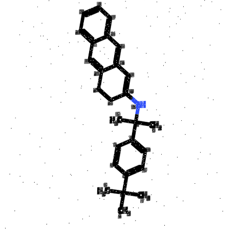 CC(C)(C)c1ccc(C(C)(C)NC2=Cc3cc4ccccc4cc3CC2)cc1